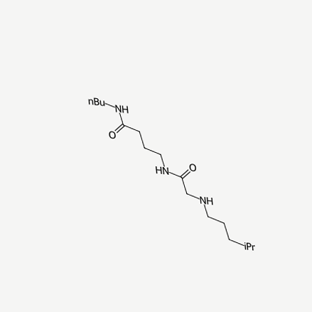 CCCCNC(=O)CCCNC(=O)CNCCCC(C)C